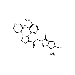 CC[C@@H]1Cc2c(nn(CC(=O)N3CC[C@H](N4CCOCC4)[C@@H]3c3cccc(OC)c3C)c2C(F)(F)F)[C@H]1C